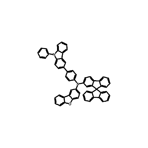 c1ccc(-n2c3ccccc3c3cc(-c4ccc(N(c5ccc6c(c5)C5(c7ccccc7-c7ccccc75)c5ccccc5-6)c5ccc6oc7ccccc7c6c5)cc4)ccc32)cc1